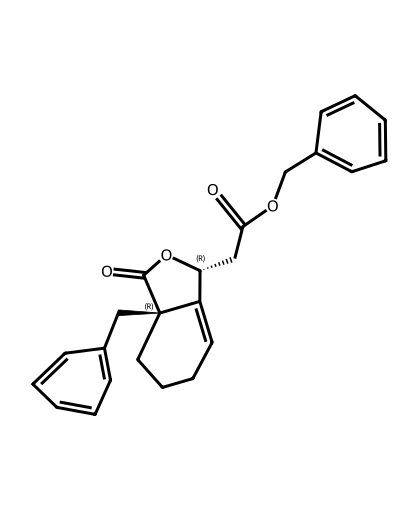 O=C(C[C@H]1OC(=O)[C@@]2(Cc3ccccc3)CCCC=C12)OCc1ccccc1